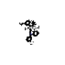 CC1(C)Oc2ccc(C#N)cc2[C@H](NC(=O)/C=C(\c2ccccc2)c2cccc(Cl)c2)[C@H]1O